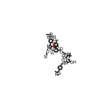 CCS(=O)(=O)Nc1ccc(-c2nn(COCC[Si](C)(C)C)c(Nc3ccc(C(=O)OCC(=O)N[C@H](C(=O)N4C[C@H](O)C[C@H]4C(=O)NCc4ccc(-c5scnc5C)cc4)C(C)(C)C)cn3)c2C(N)=O)cc1O[C@@H](C)c1ccc(F)cc1